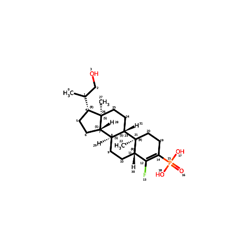 CC(CO)[C@H]1CC[C@H]2[C@@H]3CC[C@H]4C(F)=C(P(=O)(O)O)CC[C@]4(C)[C@H]3CC[C@]12C